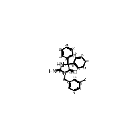 Cc1cccc(CN2C(=N)NC(C3=CCCC=C3)(c3ccccc3)C2=O)c1